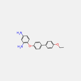 CCOc1ccc(-c2ccc(Oc3ccc(N)cc3N)cc2)cc1